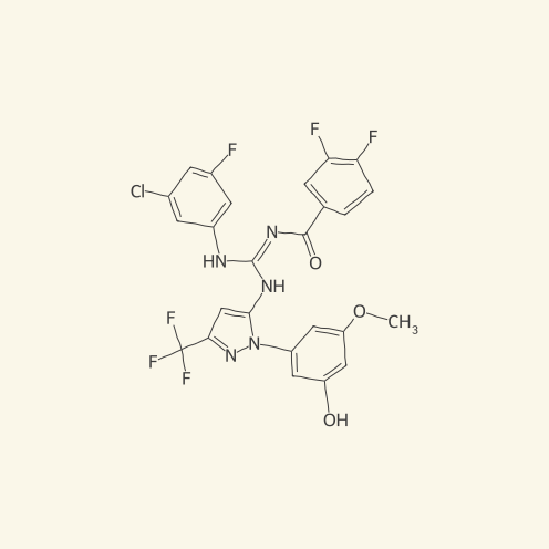 COc1cc(O)cc(-n2nc(C(F)(F)F)cc2N/C(=N\C(=O)c2ccc(F)c(F)c2)Nc2cc(F)cc(Cl)c2)c1